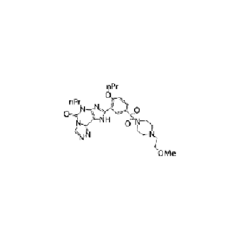 CCCOc1ccc(S(=O)(=O)N2CCN(CCOC)CC2)cc1-c1nc2c([nH]1)c1nncn1c(=O)n2CCC